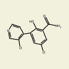 NC(=O)c1cc(Cl)cc(-c2ccncc2Cl)c1O